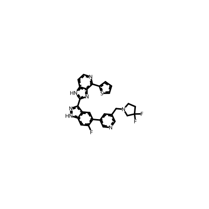 Fc1cc2[nH]nc(-c3nc4c(-c5cccs5)nccc4[nH]3)c2cc1-c1cncc(CN2CCC(F)(F)C2)c1